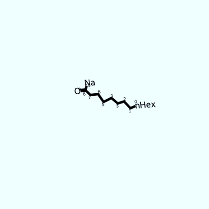 CCCCCCCCCCCCC[C](=O)[Na]